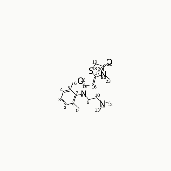 Cc1cccc(C)c1N(CCN(C)C)C(=O)/C=C1\SCC(=O)N1C